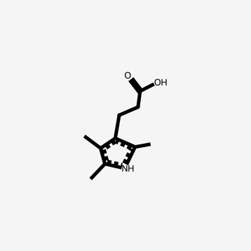 Cc1[nH]c(C)c(CCC(=O)O)c1C